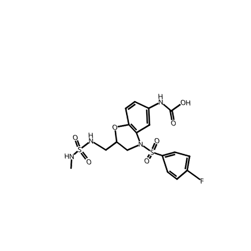 CNS(=O)(=O)NCC1CN(S(=O)(=O)c2ccc(F)cc2)c2cc(NC(=O)O)ccc2O1